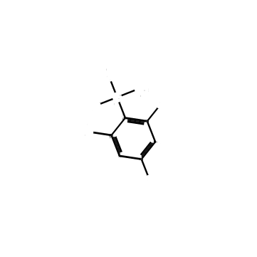 Cc1cc(C)c([Si](C)(C)C(C)(C)C)c(S(=O)(=O)O)c1